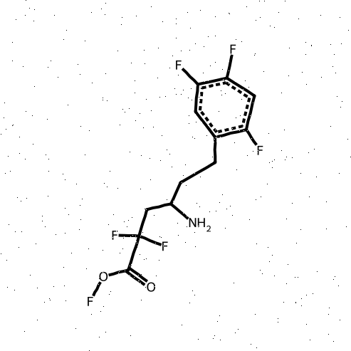 NC(CCc1cc(F)c(F)cc1F)CC(F)(F)C(=O)OF